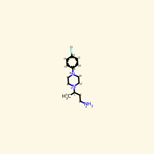 CC(CCN)N1CCN(c2ccc(F)cc2)CC1